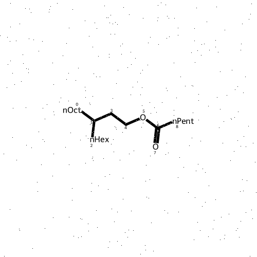 CCCCCCCCC(CCCCCC)CCOC(=O)CCCCC